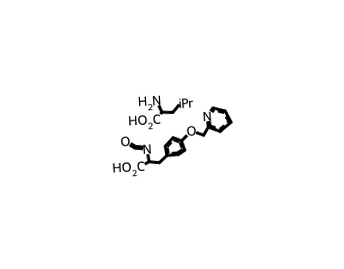 CC(C)CC(N)C(=O)O.O=C=NC(Cc1ccc(OCc2ccccn2)cc1)C(=O)O